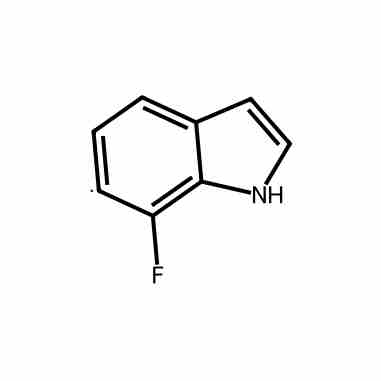 Fc1[c]ccc2cc[nH]c12